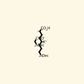 CCCCCCCCCCCC(=O)[O-].CCCCCCCCCCCCCCCCCC(=O)O.[K+]